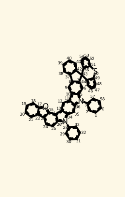 c1ccc(-n2c3cc4c(cc3c3cc5c6c7oc8ccccc8c7ccc6n(-c6ccccc6)c5cc32)-c2ccccc2C42c3ccccc3Sc3ccccc32)cc1